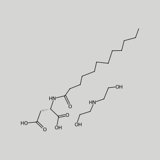 CCCCCCCCCCCC(=O)N[C@@H](CC(=O)O)C(=O)O.OCCNCCO